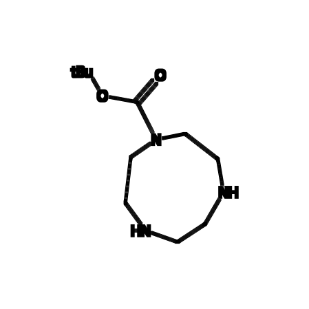 CC(C)(C)OC(=O)N1CCNCCNCC1